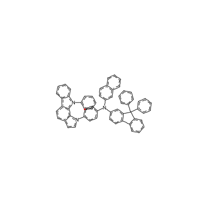 c1ccc(-n2c3ccccc3c3ccc4ccn(-c5ccc(N(c6ccc7c(c6)C(c6ccccc6)(c6ccccc6)c6ccccc6-7)c6ccc7ccccc7c6)cc5)c4c32)cc1